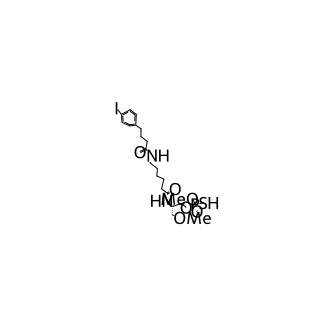 COC[C@@H](COP(=O)(S)OC)NC(=O)CCCCCNC(=O)CCCc1ccc(I)cc1